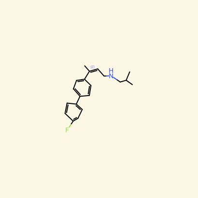 C/C(=C/CNCC(C)C)c1ccc(-c2ccc(F)cc2)cc1